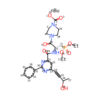 CCCCOC(=O)N1CCN(C(=O)[C@H](CP(=O)(OCC)OCC)NC(=O)c2cc(C#CC(C)O)nc(-c3ccccc3)n2)CC1